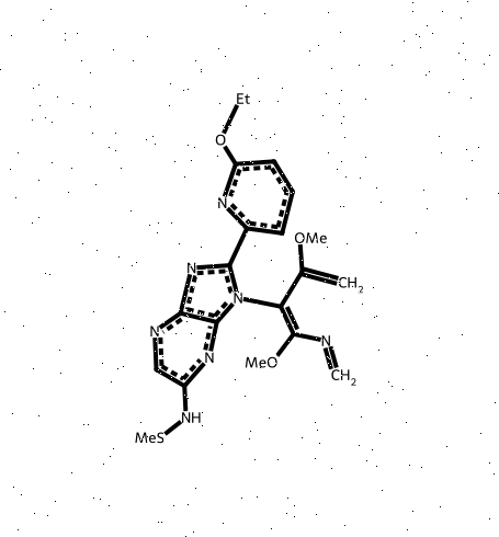 C=N/C(OC)=C(\C(=C)OC)n1c(-c2cccc(OCC)n2)nc2ncc(NSC)nc21